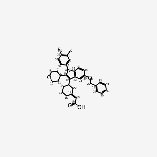 Cc1cc(-n2c(C3CCOCC3)c(C3CCCC(=CC(=O)O)C3)c3cc(OCc4ccccc4)ccc32)ccc1F